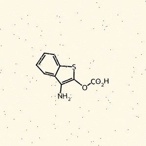 Nc1c(OC(=O)O)sc2ccccc12